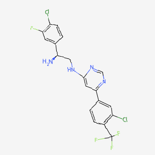 N[C@H](CNc1cc(-c2ccc(C(F)(F)F)c(Cl)c2)ncn1)c1ccc(Cl)c(F)c1